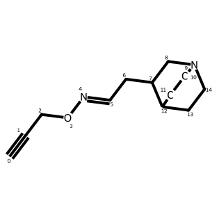 C#CCON=CCC1CN2CCC1CC2